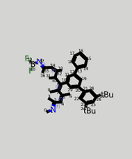 C/N=C(C)/C=C(C)\C(C)=C(/c1cc(-c2ccccc2)cc(-c2cc(C(C)(C)C)cc(C(C)(C)C)c2)c1)C(C)/C(C)=C\C(C)=N\B(F)F